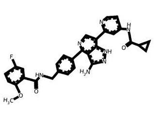 COc1ccc(F)cc1C(=O)NCc1ccc(-c2ncc(-c3cc(NC(=O)C4CC4)ccn3)c3[nH]nc(N)c23)cc1